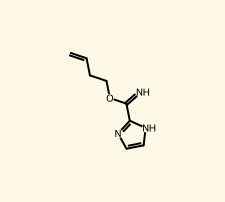 C=CCCOC(=N)c1ncc[nH]1